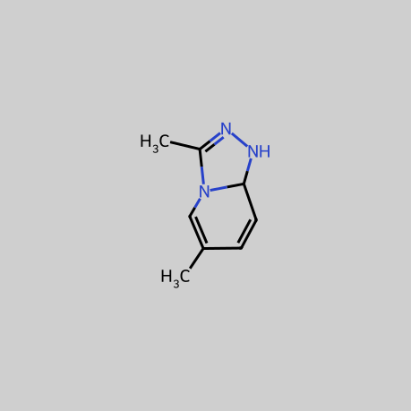 CC1=CN2C(C)=NNC2C=C1